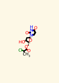 CC(Cl)C(=O)OC[C@H]1O[C@@H](n2ccc(=O)[nH]c2=O)C[C@@H]1O